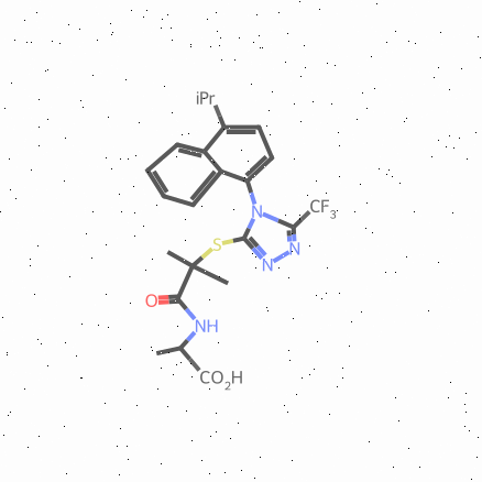 CC(NC(=O)C(C)(C)Sc1nnc(C(F)(F)F)n1-c1ccc(C(C)C)c2ccccc12)C(=O)O